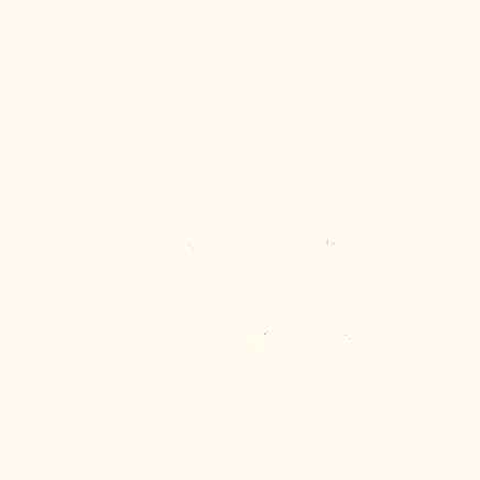 COc1ccc2ncc(F)c([C@@H](O)CCC3(C(=O)O)CCN(CC#Cc4cc(F)cc(F)c4F)CC3)c2c1